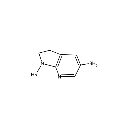 Bc1cnc2c(c1)CCN2S